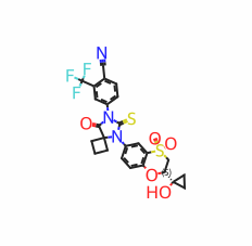 N#Cc1ccc(N2C(=O)C3(CCC3)N(c3ccc4c(c3)S(=O)(=O)C[C@H](C3(O)CC3)O4)C2=S)cc1C(F)(F)F